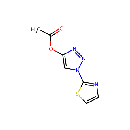 CC(=O)Oc1cn(-c2nccs2)nn1